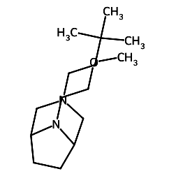 COCCN1C2CCC1CN(CCC(C)(C)C)C2